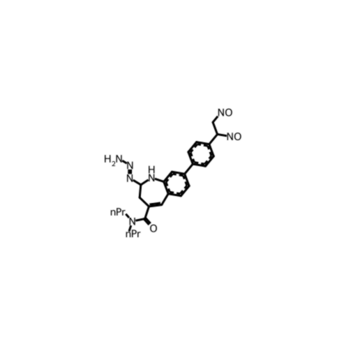 CCCN(CCC)C(=O)C1=Cc2ccc(-c3ccc(C(CN=O)N=O)cc3)cc2NC(N=NN)C1